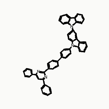 c1ccc(-c2cc(-c3ccccc3)nc(-c3ccc(-c4ccc(-n5c6ccccc6c6cc(-n7c8ccccc8c8ccccc87)ccc65)cc4)cc3)n2)cc1